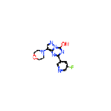 Oc1nc(-c2cncc(F)c2)nc2c(N3CCOCC3)cnn12